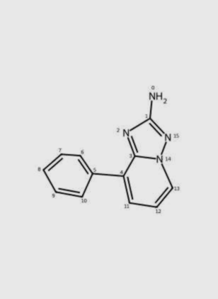 Nc1nc2c(-c3ccccc3)cccn2n1